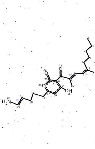 CCCCC/C(C)=C\C=C(/C)C(=O)c1c(O)cc(CCC/C=C/N)oc1=O